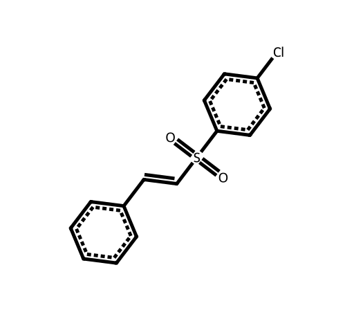 O=S(=O)(C=Cc1ccccc1)c1ccc(Cl)cc1